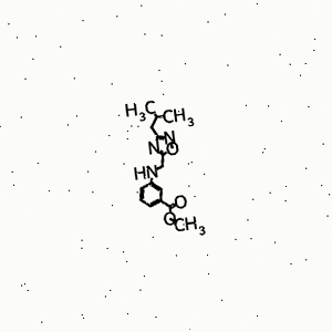 COC(=O)c1cccc(NCc2nc(CC(C)C)no2)c1